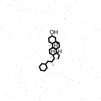 C[C@H](CC1CCCCC1)[C@H]1CC[C@H]2[C@@H]3CC=C4C[C@@H](O)CC[C@]4(C)[C@H]3CC[C@]12C